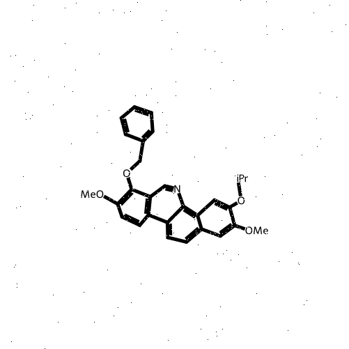 COc1cc2ccc3c4ccc(OC)c(OCc5ccccc5)c4cnc3c2cc1OC(C)C